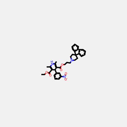 CCOC(=O)C1=C(C)NC(C)=C(C(=O)OCCCN2CCC(c3ccccc3)(c3ccccc3)CC2)C1c1cccc([N+](=O)[O-])c1